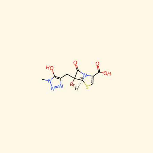 Cn1nnc(CC2(Br)C(=O)N3C(C(=O)O)=CS[C@H]32)c1O